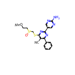 COCC[S+]([O-])CSc1nc(-c2cnc(N)nc2)nc(-c2ccccc2)c1C#N